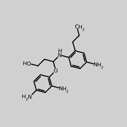 CCCc1cc(N)ccc1NC(CCO)Oc1ccc(N)cc1N